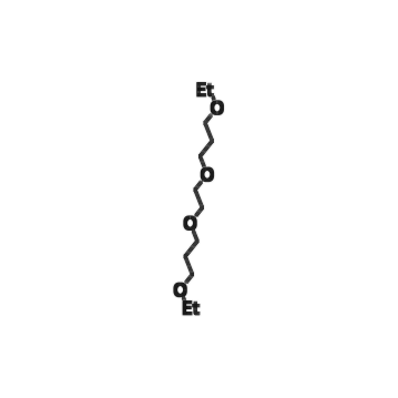 CCOCCCOCCOCCCOCC